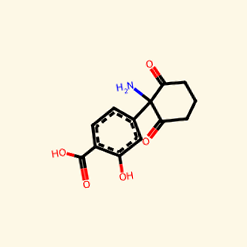 NC1(c2ccc(C(=O)O)c(O)c2)C(=O)CCCC1=O